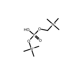 C[N+](C)(C)COP(=O)(O)O[N+](C)(C)C